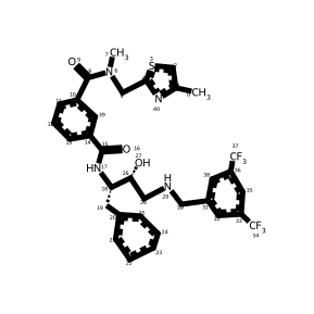 Cc1csc(CN(C)C(=O)c2cccc(C(=O)N[C@@H](Cc3ccccc3)[C@H](O)CNCc3cc(C(F)(F)F)cc(C(F)(F)F)c3)c2)n1